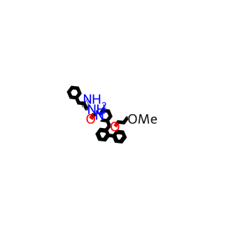 COCCCOC(c1ccccc1-c1ccccc1)C1CCCN(C(=O)NC[C@@H](N)CC2CCCCC2)C1